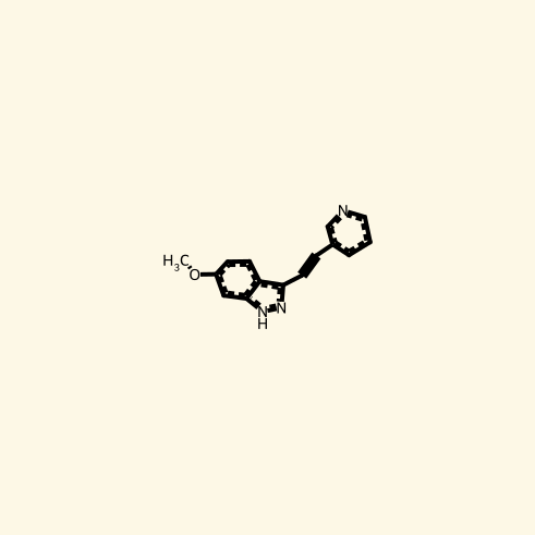 COc1ccc2c(C#Cc3cccnc3)n[nH]c2c1